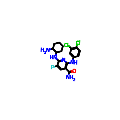 NC(=O)c1cc(F)c(NC2CCCCC2N)nc1Nc1ccc(Cl)c(Cl)c1